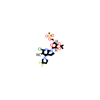 CC1(C)O[C@@H]2[C@H](O1)[C@@H](COS(C)(=O)=O)O[C@H]2n1ccc2c(N3CCC(F)(F)C3)c(C#N)c(Cl)nc21